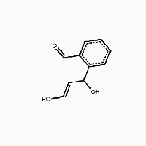 O=Cc1ccccc1C(O)C=CO